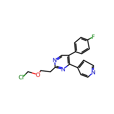 Fc1ccc(-c2cnc(CCOCCl)nc2-c2ccncc2)cc1